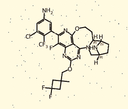 CC1(COc2nc3c4c(nc(-c5cc(N)cc(Cl)c5C(F)(F)F)c(F)c4n2)OCC[C@@H]2[C@@H]4CC[C@H](CN32)N4)CC(F)(F)C1